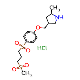 C[C@@H]1C[C@H](COc2ccc(S(=O)(=O)CCCS(C)(=O)=O)cc2)CN1.Cl